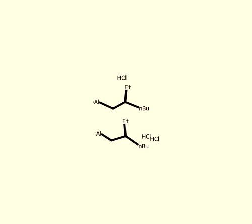 CCCCC(CC)[CH2][Al].CCCCC(CC)[CH2][Al].Cl.Cl.Cl